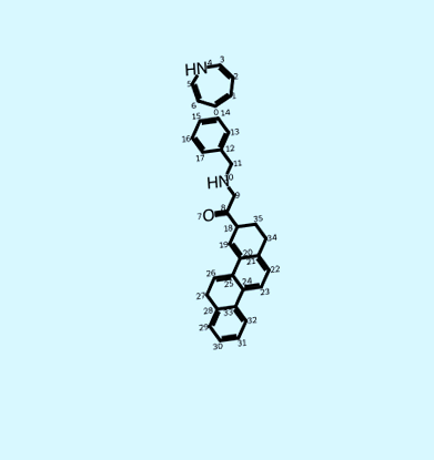 C1=CC=CNC=C1.O=C(CNCc1ccccc1)C1C=c2c(ccc3c2=CCc2ccccc2-3)CC1